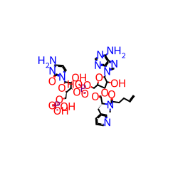 C=CCCC(=O)N(C)[C@H](Cc1cccnc1)C(=O)OC1C(COP(=O)(O)O[C@H]2[C@@H](O)[C@H](n3ccc(N)nc3=O)O[C@@H]2COP(=O)(O)O)OC(n2cnc3c(N)ncnc32)C1O